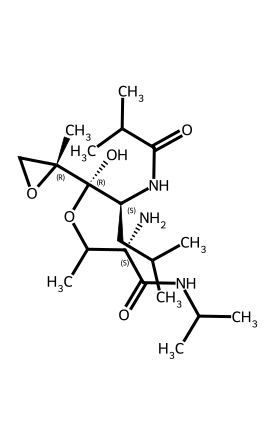 CC(C)C[C@H](NC(=O)C(C)C)[C@@](O)(OC(C)[C@H](N)C(=O)NC(C)C)[C@@]1(C)CO1